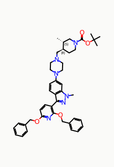 C[C@@H]1CN(C(=O)OC(C)(C)C)CC[C@H]1CN1CCN(c2ccc3c(-c4ccc(OCc5ccccc5)nc4OCc4ccccc4)nn(C)c3c2)CC1